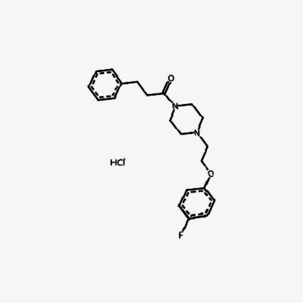 Cl.O=C(CCc1ccccc1)N1CCN(CCOc2ccc(F)cc2)CC1